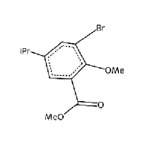 COC(=O)c1cc(C(C)C)cc(Br)c1OC